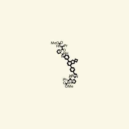 COC(=O)NC(C(=O)N1CCC[C@H]1c1nc2cc(-c3ccc(-c4ccc(-c5cnc([C@@H]6CCCN6C(=O)[C@@H](NC(=O)OC)C(C)C)[nH]5)cc4)c4c3CC3(CCC3)C4)ccc2[nH]1)C(C)C